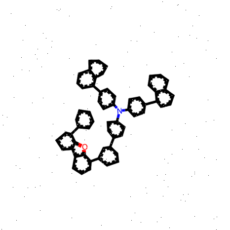 c1ccc(-c2cccc3c2oc2c(-c4cccc(-c5ccc(N(c6ccc(-c7cccc8ccccc78)cc6)c6ccc(-c7cccc8ccccc78)cc6)cc5)c4)cccc23)cc1